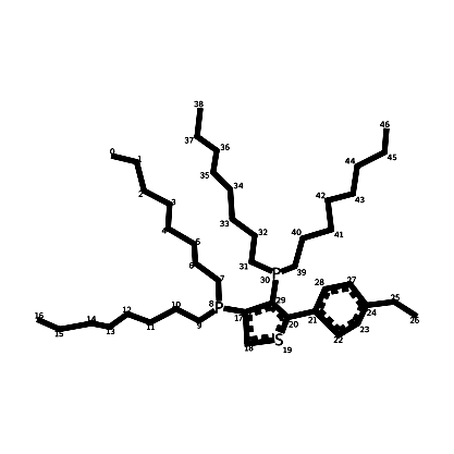 CCCCCCCCP(CCCCCCCC)c1csc(-c2ccc(CC)cc2)c1P(CCCCCCCC)CCCCCCCC